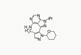 Cc1cnn(C2CCCCO2)c1-c1nn(C(C)C)c2ncnc(N)c12